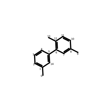 Cc1cc[c]c(-c2cc(C)ccc2C)c1